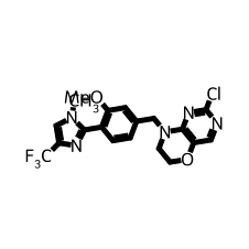 COc1cc(CN2CCOc3cnc(Cl)nc32)ccc1-c1nc(C(F)(F)F)cn1C